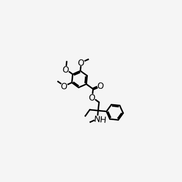 CCC(COC(=O)c1cc(OC)c(OC)c(OC)c1)(NC)c1ccccc1